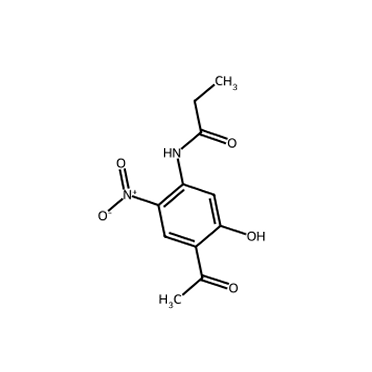 CCC(=O)Nc1cc(O)c(C(C)=O)cc1[N+](=O)[O-]